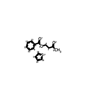 CC(=O)CCOC(=O)c1ccccc1.c1ccsc1